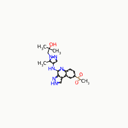 Cc1c(Nc2nc3ccc(S(C)(=O)=O)cc3c3c[nH]nc23)cnn1CC(C)(C)O